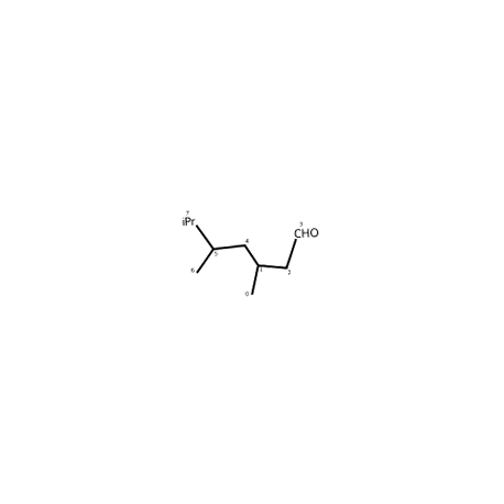 CC(CC=O)CC(C)C(C)C